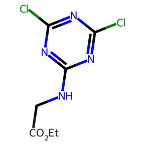 CCOC(=O)CNc1nc(Cl)nc(Cl)n1